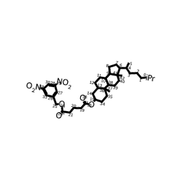 CC(C)CCCC(C)C1CCC2C3CCC4CC(OC(=O)CCCC(=O)OCc5cc([N+](=O)[O-])cc([N+](=O)[O-])c5)CCC4(C)C3CCC12C